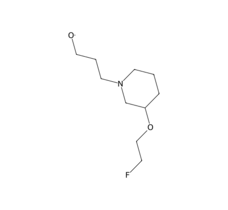 [O]CCCN1CCCC(OCCF)C1